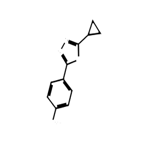 COc1ccc(-c2nnc(C3CC3)o2)cc1